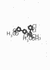 Cc1cc(-c2cccc(S(C)(=O)=O)c2)ccc1-n1nc(C(C)(C)O)cc1-c1cccc(Cl)c1Cl